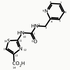 O=C(NCc1ccccn1)Nc1nc(C(=O)O)cs1